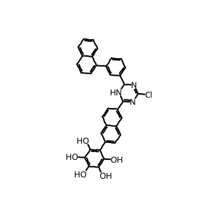 Oc1c(O)c(O)c(-c2ccc3cc(C4=NC(Cl)=NC(c5cccc(-c6cccc7ccccc67)c5)N4)ccc3c2)c(O)c1O